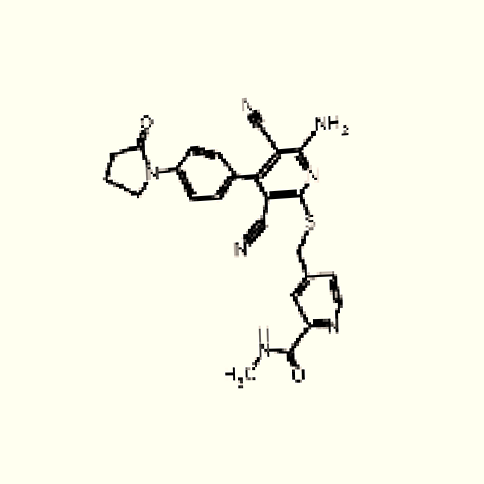 CNC(=O)c1cc(CSc2nc(N)c(C#N)c(-c3ccc(N4CCCC4=O)cc3)c2C#N)ccn1